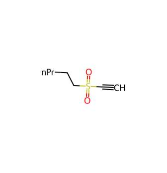 C#CS(=O)(=O)CCCCC